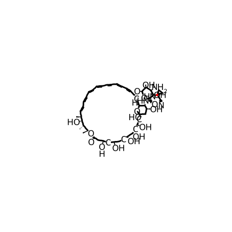 C[C@@H]1[C@H](O)[C@@H](C)/C=C/C=C/C=C/C=C/C=C/C=C/C=C/[C@H](O[C@@H]2O[C@H](C)[C@@H](O)[C@H](N)[C@@H]2O)C[C@@H]2O[C@](O)(C[C@@H](O)C[C@@H](O)[C@H](O)CC[C@@H](O)C[C@@H](O)CC(=O)O[C@H]1C)C[C@H](O)[C@H]2NC(=O)NC1(C#N)CC1